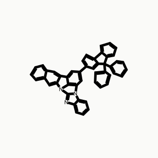 c1ccc(C2(c3ccccc3)c3ccccc3-c3ccc(-c4cc5c6cc7ccccc7cc6n6c5c(c4)n4c5ccccc5nc46)cc32)cc1